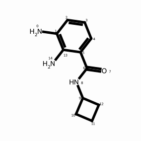 Nc1cccc(C(=O)NC2CCC2)c1N